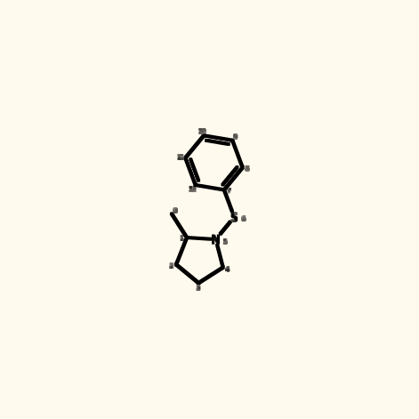 CC1CCCN1Sc1ccccc1